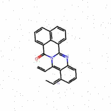 C=Cc1c2/c(=C\C)cccc2nc2c3cccc4cccc(c(=O)n12)c43